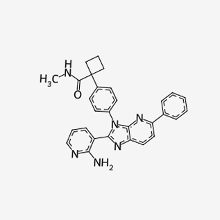 CNC(=O)C1(c2ccc(-n3c(-c4cccnc4N)nc4ccc(-c5ccccc5)nc43)cc2)CCC1